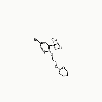 OC1(c2cc(Br)cnc2OCCOC2CCCCO2)COC1